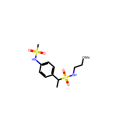 COCCNS(=O)(=O)C(C)c1ccc(NS(C)(=O)=O)cc1